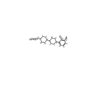 CCCCCCCC1CCC(C2CCC(c3cccc(F)c3F)CC2)CC1